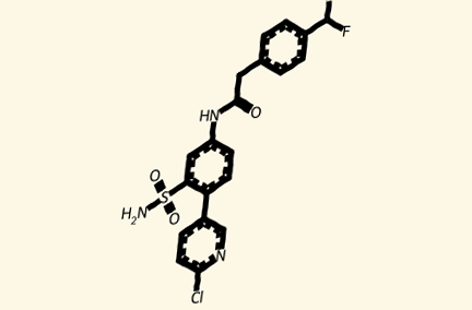 NS(=O)(=O)c1cc(NC(=O)Cc2ccc(C(F)F)cc2)ccc1-c1ccc(Cl)nc1